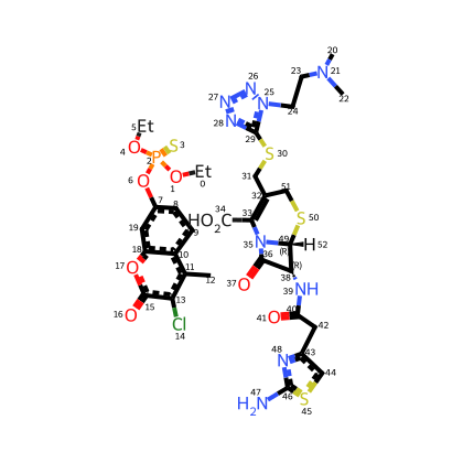 CCOP(=S)(OCC)Oc1ccc2c(C)c(Cl)c(=O)oc2c1.CN(C)CCn1nnnc1SCC1=C(C(=O)O)N2C(=O)[C@@H](NC(=O)Cc3csc(N)n3)[C@H]2SC1